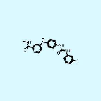 CNC(=O)c1cc(Nc2ccc(NC(=O)Nc3cccc(F)c3)cc2)ccn1